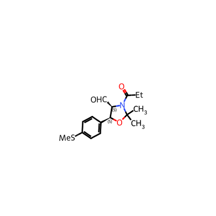 CCC(=O)N1[C@H](C=O)[C@H](c2ccc(SC)cc2)OC1(C)C